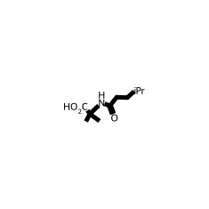 CC(C)CCC(=O)NC(C)(C)C(=O)O